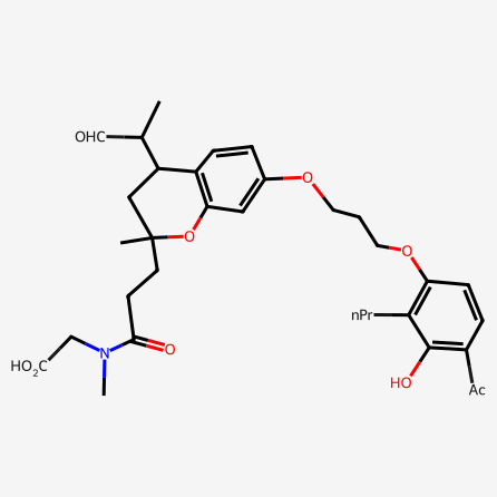 CCCc1c(OCCCOc2ccc3c(c2)OC(C)(CCC(=O)N(C)CC(=O)O)CC3C(C)C=O)ccc(C(C)=O)c1O